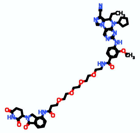 CCC1c2c(C#N)ncn2-c2cnc(Nc3ccc(C(=O)NCCOCCOCCOCCOCCC(=O)Nc4cccc5c4CN(C4CCC(=O)NC4=O)C5=O)cc3OC)nc2N1C1CCCC1